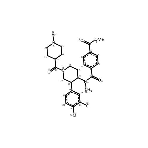 COC(=O)c1ccc(C(=O)N(C)C2CCN(C(=O)C3CCN(C(C)=O)CC3)CC2c2ccc(Cl)c(Cl)c2)cc1